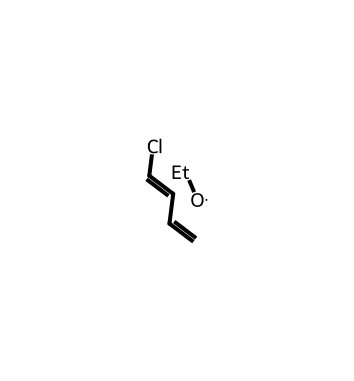 C=CC=CCl.CC[O]